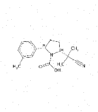 Cc1cccc([C@@H]2CC[C@H](C(C)(C)C#N)N2C(=O)O)c1